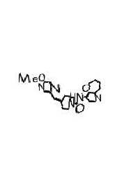 COc1cnc(C=C2CCN(C(=O)Nc3ccnc4c3OCCCC4)CC2)cn1